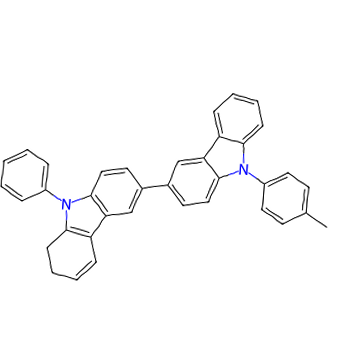 Cc1ccc(-n2c3ccccc3c3cc(-c4ccc5c(c4)c4c(n5-c5ccccc5)CCC=C4)ccc32)cc1